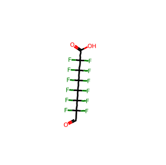 O=CC(F)(F)C(F)(F)C(F)(F)C(F)(F)C(F)(F)C(F)(F)C(=O)O